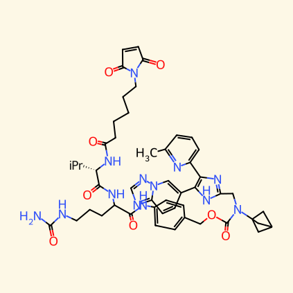 Cc1cccc(-c2nc(CN(C(=O)OCc3ccc(NC(=O)C(CCCNC(N)=O)NC(=O)[C@@H](NC(=O)CCCCCN4C(=O)C=CC4=O)C(C)C)cc3)C34CC(C3)C4)[nH]c2-c2ccc3ncnn3c2)n1